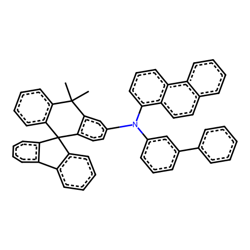 CC1(C)c2ccccc2C2(c3ccccc3-c3ccccc32)c2ccc(N(c3cccc(-c4ccccc4)c3)c3cccc4c3ccc3ccccc34)cc21